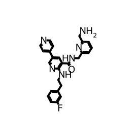 NCc1cccc(CNC(=O)c2cc(-c3ccncc3)cnc2NCCc2cccc(F)c2)n1